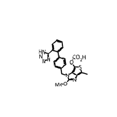 COc1nc2c(C)sc(OC(=O)O)c2n1Cc1ccc(-c2ccccc2-c2nnn[nH]2)cc1